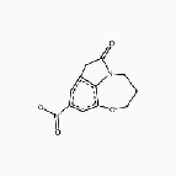 O=C1Cc2cc([N+](=O)[O-])cc3c2N1CCCO3